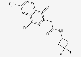 CC(C)c1nn(CC(=O)NC2CC(F)(F)C2)c(=O)c2ccc(C(F)(F)F)cc12